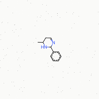 CC1CC=NC(c2ccccc2)N1